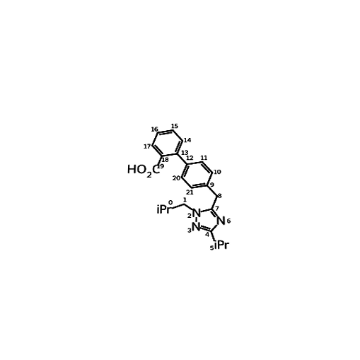 CC(C)Cn1nc(C(C)C)nc1Cc1ccc(-c2ccccc2C(=O)O)cc1